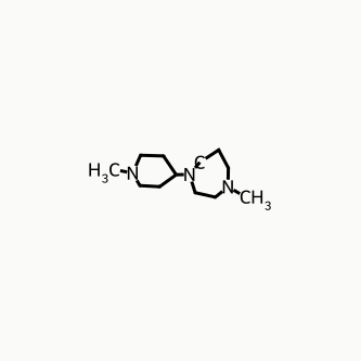 CN1CCC(N2CCCN(C)CC2)CC1